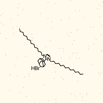 Br.CCCCCCCCCCCCCCN1C=CN(CCCCCCCCCCCCCC)C1C12CC3CC(CC(C3)C1)C2